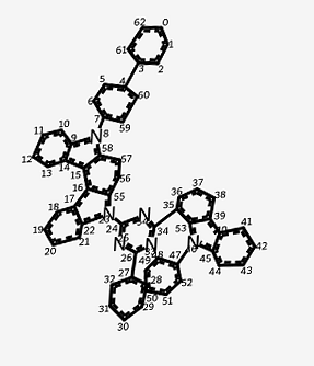 c1ccc(-c2ccc(-n3c4ccccc4c4c5c6ccccc6n(-c6nc(-c7ccccc7)nc(-c7cccc8c9ccccc9n(-c9ccccc9)c78)n6)c5ccc43)cc2)cc1